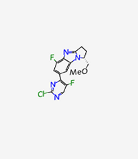 COC[C@H]1CCc2nc3c(F)cc(-c4nc(Cl)ncc4F)cc3n21